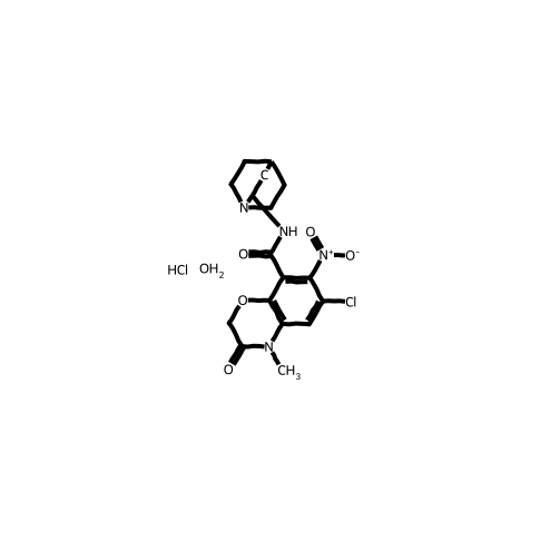 CN1C(=O)COc2c1cc(Cl)c([N+](=O)[O-])c2C(=O)NC1CC2CCN1CC2.Cl.O